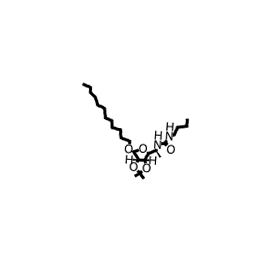 CCCCCCCCCCCCO[C@H]1O[C@H]([C@H](C)NC(=O)NCCCC)[C@@H]2OC(C)(C)O[C@H]12